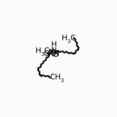 CCCCC/C=C\C/C=C\CCCCCCCC(=O)N[C](CC)NC(=O)CCCCCCC/C=C\C/C=C\CCCCC